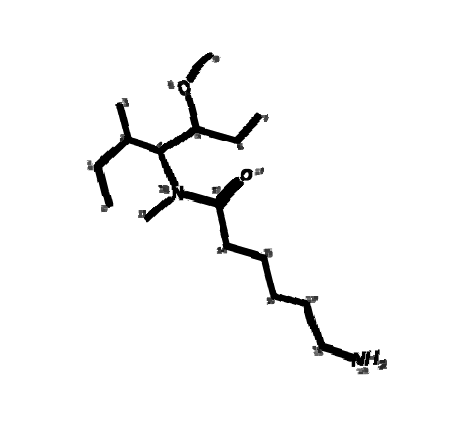 CCC(C)C(C(CC)OC)N(C)C(=O)CCCCCN